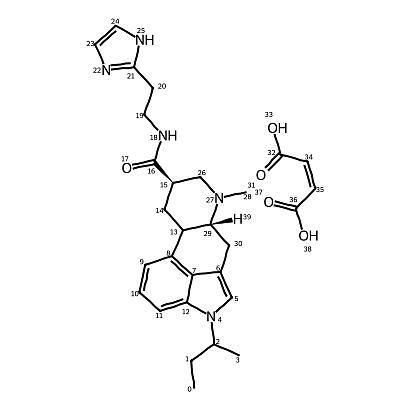 CCC(C)n1cc2c3c(cccc31)C1C[C@@H](C(=O)NCCc3ncc[nH]3)CN(C)[C@@H]1C2.O=C(O)/C=C\C(=O)O